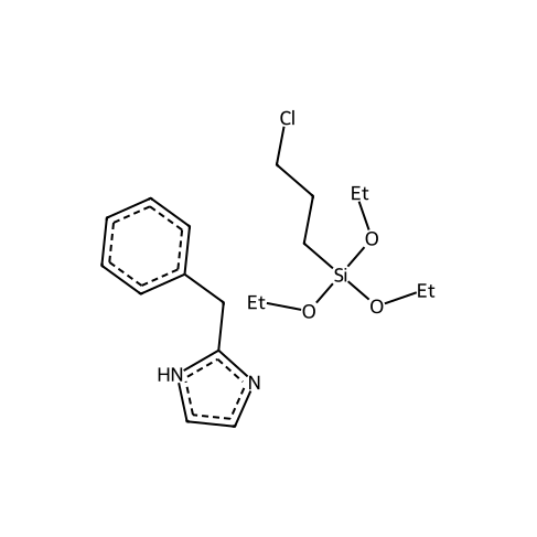 CCO[Si](CCCCl)(OCC)OCC.c1ccc(Cc2ncc[nH]2)cc1